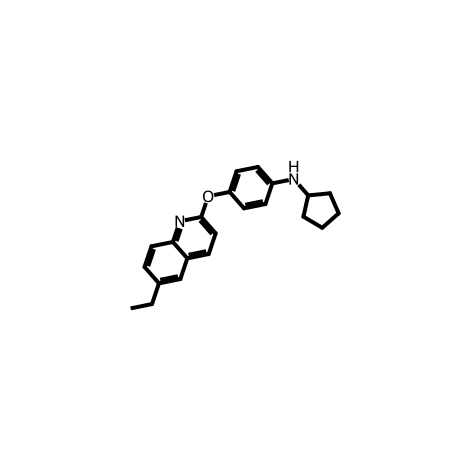 CCc1ccc2nc(Oc3ccc(NC4CCCC4)cc3)ccc2c1